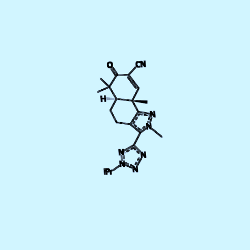 CC(C)n1nnc(-c2c3c(nn2C)[C@@]2(C)C=C(C#N)C(=O)C(C)(C)[C@@H]2CC3)n1